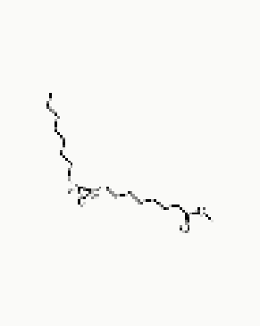 CCCCCCCC[C@H]1O[C@H]1CCCCCCCC(=O)OC